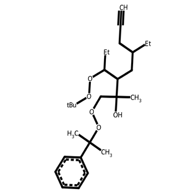 C#CCC(CC)CC(C(CC)OOC(C)(C)C)C(C)(O)COOC(C)(C)c1ccccc1